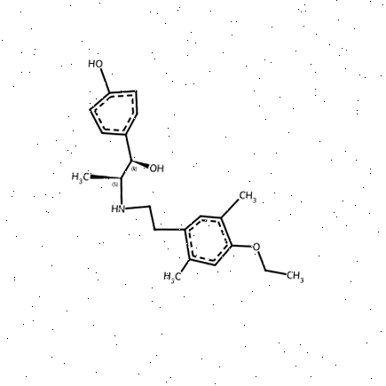 CCOc1cc(C)c(CCN[C@@H](C)[C@H](O)c2ccc(O)cc2)cc1C